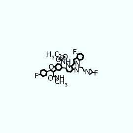 CCS(=O)(=O)Nc1cc2oc(-c3ccc(F)cc3)c(C(=O)NC)c2cc1-c1ccc2nc(CCN3CC(F)C3)n3c4cccc(F)c4cc3c2n1